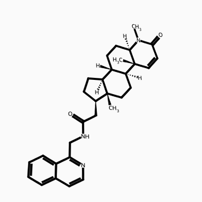 CN1C(=O)C=C[C@]2(C)[C@H]3CC[C@]4(C)[C@@H](CC(=O)NCc5nccc6ccccc56)CC[C@H]4[C@@H]3CC[C@@H]12